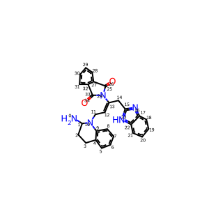 NC1CCc2ccccc2N1CC=C(Cc1nc2ccccc2[nH]1)N1C(=O)c2ccccc2C1=O